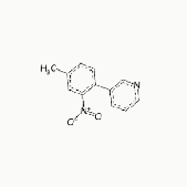 Cc1ccc(-c2cccnc2)c([N+](=O)[O-])c1